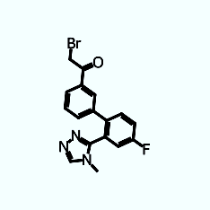 Cn1cnnc1-c1cc(F)ccc1-c1cccc(C(=O)CBr)c1